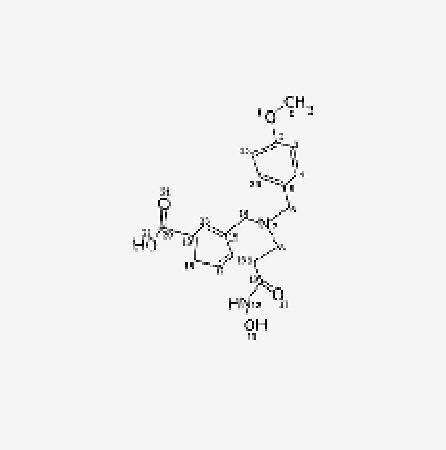 COc1ccc(CN(CCC(=O)NO)Cc2cccc(C(=O)O)c2)cc1